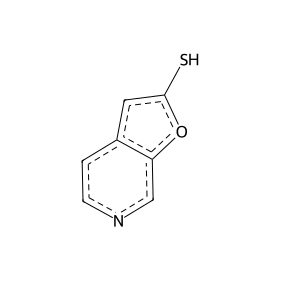 Sc1cc2ccncc2o1